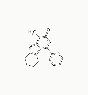 Cn1c(=O)nc(-c2ccccc2)c2c3c(sc21)CCCC3